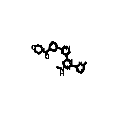 CNc1cc(-c2cncc(-c3cccc(C(=O)N4CCOCC4)c3)c2)nc(-c2cccc(C)n2)n1